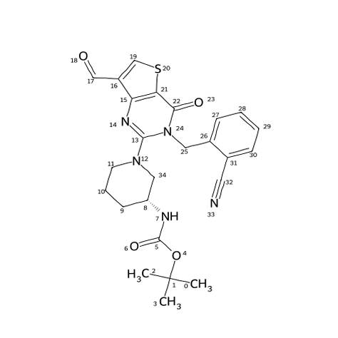 CC(C)(C)OC(=O)N[C@@H]1CCCN(c2nc3c(C=O)csc3c(=O)n2Cc2ccccc2C#N)C1